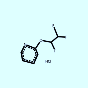 Cl.FC(F)C(F)Oc1ccccn1